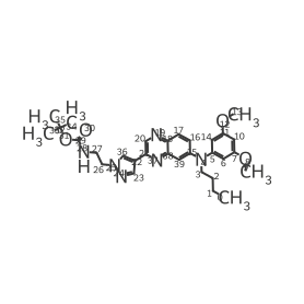 CCCCN(c1cc(OC)cc(OC)c1)c1ccc2ncc(-c3cnn(CCNC(=O)OC(C)(C)C)c3)nc2c1